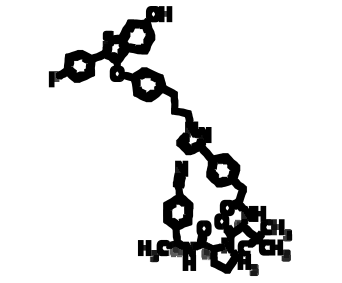 C[C@H](NC(=O)[C@@H]1CCCN1C(=O)[C@@H](NC(=O)Cc1ccc(-c2ccn(CCCc3ccc(Oc4c(-c5ccc(F)cc5)sc5cc(O)ccc45)cc3)n2)cc1)C(C)(C)C)c1ccc(C#N)cc1